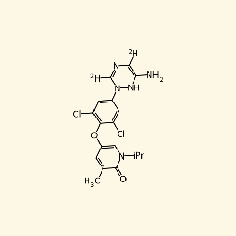 [2H]C1=NC([2H])=C(N)NN1c1cc(Cl)c(Oc2cc(C)c(=O)n(C(C)C)c2)c(Cl)c1